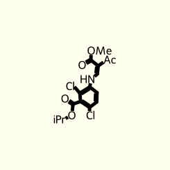 COC(=O)C(=CNc1ccc(Cl)c(C(=O)OC(C)C)c1Cl)C(C)=O